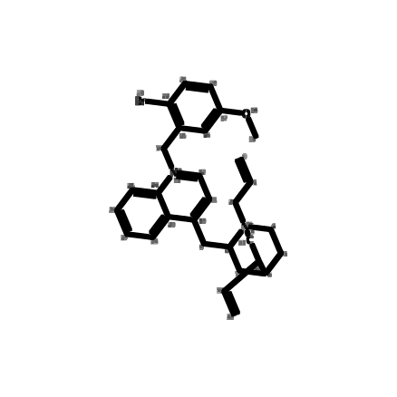 C=CC[N+]12CCC(CC1Cc1cc[n+](Cc3cc(OC)ccc3Br)c3ccccc13)C(C=C)C2